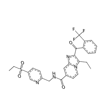 CCc1c(C(=O)c2ccccc2C(F)(F)F)nc2cc(C(=O)NCc3ccc(S(=O)(=O)CC)cn3)ccn12